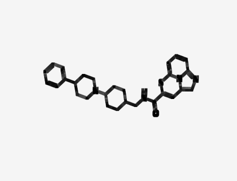 O=C(NCC1CCC(N2CCC(c3ccccc3)CC2)CC1)C1=Cc2cnc3cccc(n23)S1